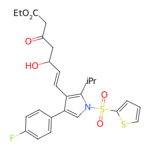 CCOC(=O)CC(=O)CC(O)C=Cc1c(-c2ccc(F)cc2)cn(S(=O)(=O)c2cccs2)c1C(C)C